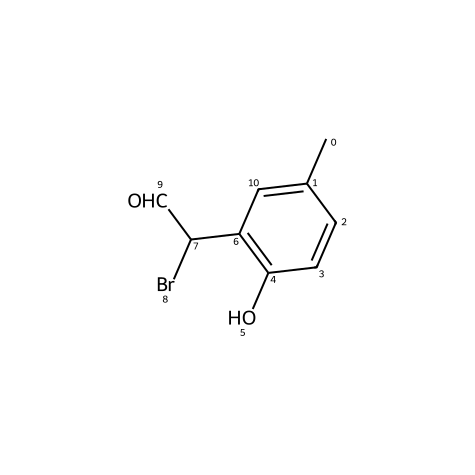 Cc1ccc(O)c(C(Br)C=O)c1